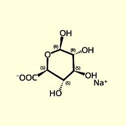 O=C([O-])[C@H]1O[C@@H](O)[C@H](O)[C@@H](O)[C@@H]1O.[Na+]